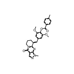 COc1cc(/C=C2\CCCn3c2nc2c(cnn2C)c3=O)cc(OC)c1OC(=O)c1ccc(C)cc1